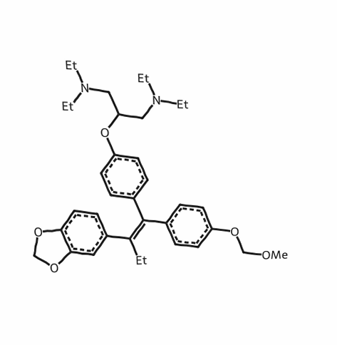 CCC(=C(c1ccc(OCOC)cc1)c1ccc(OC(CN(CC)CC)CN(CC)CC)cc1)c1ccc2c(c1)OCO2